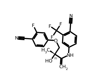 C=C(Nc1ccc(C#N)c(C(F)(F)F)c1)[C@](C)(O)COc1ccc(C#N)c(F)c1